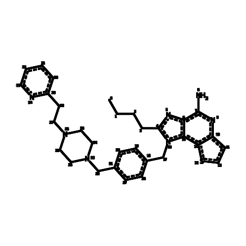 CCCCc1nc2c(N)nc3ccsc3c2n1Cc1ccc(CN2CCN(CCc3ccccn3)CC2)cc1